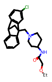 CCOCC(=O)NC1CCN(CC23CC(c4ccccc42)c2ccc(Cl)cc23)CC1